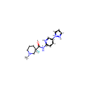 N#CN1CCC[C@](F)(C(=O)Nc2ccc(-n3cccn3)cn2)C1